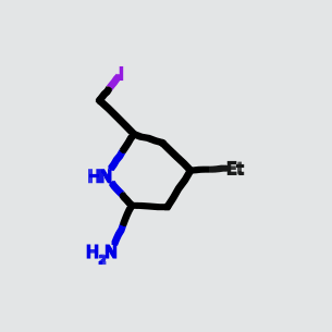 CCC1CC(N)NC(CI)C1